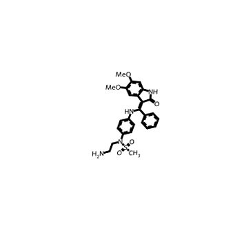 COc1cc2c(cc1OC)C(=C(Nc1ccc(N(CCN)S(C)(=O)=O)cc1)c1ccccc1)C(=O)N2